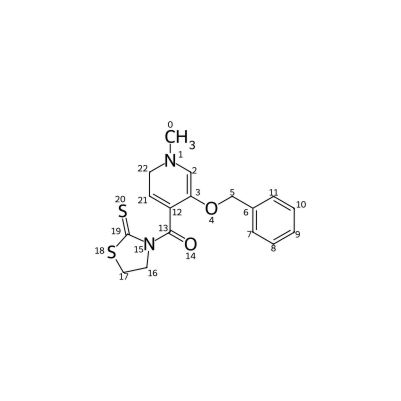 CN1C=C(OCc2ccccc2)C(C(=O)N2CCSC2=S)=CC1